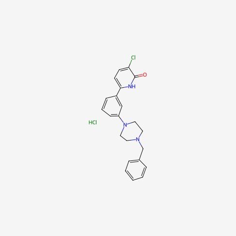 Cl.O=c1[nH]c(-c2cccc(N3CCN(Cc4ccccc4)CC3)c2)ccc1Cl